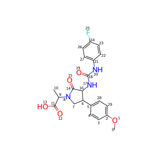 COc1ccc(C2CN(C(C)C(=O)O)C(=O)C2NC(=O)Nc2ccc(F)cc2)cc1